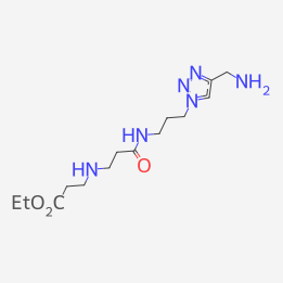 CCOC(=O)CCNCCC(=O)NCCCn1cc(CN)nn1